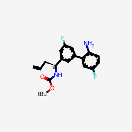 C=CC[C@H](NC(=O)OC(C)(C)C)c1cc(F)cc(-c2cc(F)ccc2N)c1